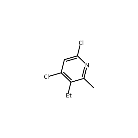 CCc1c(Cl)cc(Cl)nc1C